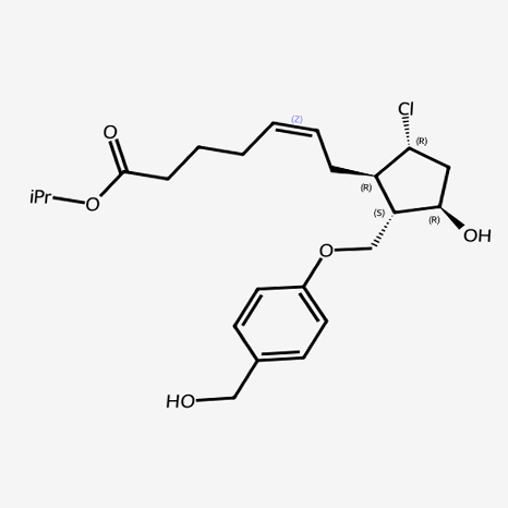 CC(C)OC(=O)CCC/C=C\C[C@@H]1[C@@H](COc2ccc(CO)cc2)[C@H](O)C[C@H]1Cl